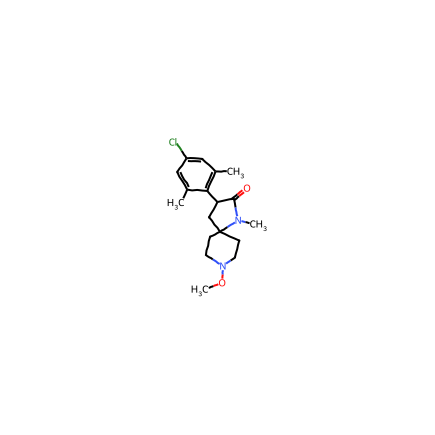 CON1CCC2(CC1)CC(c1c(C)cc(Cl)cc1C)C(=O)N2C